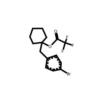 O=C(OC1(Cc2ccc(Br)cc2)CCCCC1)C(F)(F)F